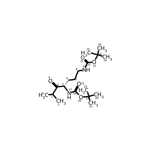 CC(C)C(=O)[C@H](CCCNC(=O)OC(C)(C)C)NC(=O)OC(C)(C)C